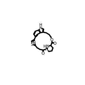 O=C1OCCCc2c[nH]c3ccc(cc23)-c2csc(n2)CCC(=O)N2CCCC1N2